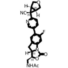 CC(=O)NC[C@@H]1OC(=O)N2c3cc(F)c(-c4ccc([C@@]5(C#N)[C@@H]6COC[C@@H]65)nc4)cc3C[C@@H]12